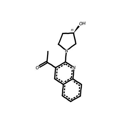 CC(=O)c1cc2ccccc2nc1N1CC[C@@H](O)C1